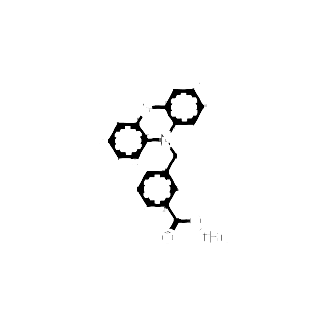 CC(C)(C)OC(=O)c1cccc(CN2c3ccccc3Sc3ccccc32)c1